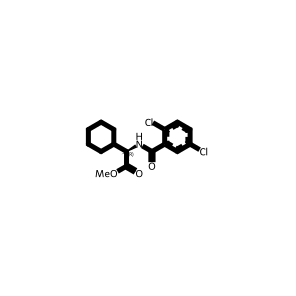 COC(=O)[C@H](NC(=O)c1cc(Cl)ccc1Cl)C1CCCCC1